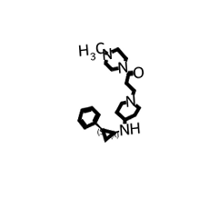 CN1CCN(C(=O)CCN2CCC(N[C@@H]3C[C@H]3c3ccccc3)CC2)CC1